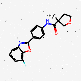 CC1(C(=O)Nc2ccc(-c3nc4cccc(F)c4o3)cc2)CCOC1